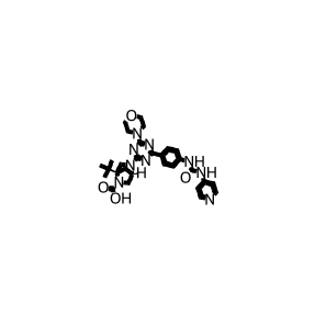 CC(C)(C)[C@@]12C[C@H](CN1C(=O)O)N(c1nc(-c3ccc(NC(=O)Nc4ccncc4)cc3)nc(N3CCOCC3)n1)C2